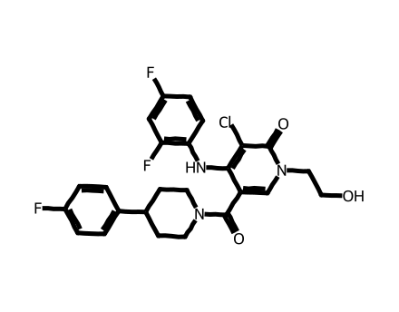 O=C(c1cn(CCO)c(=O)c(Cl)c1Nc1ccc(F)cc1F)N1CCC(c2ccc(F)cc2)CC1